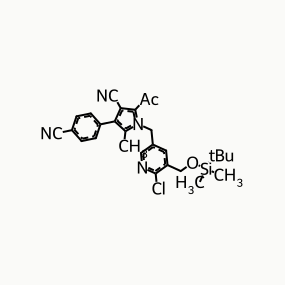 CC(=O)c1c(C#N)c(-c2ccc(C#N)cc2)c(C)n1Cc1cnc(Cl)c(CO[Si](C)(C)C(C)(C)C)c1